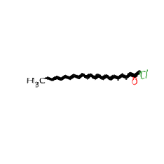 CCCCCCCCCCCCCCCCCCCCCCC(=O)CCl